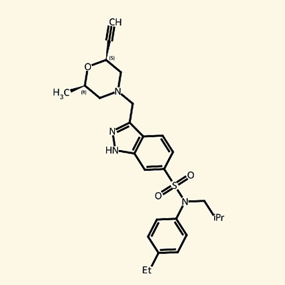 C#C[C@H]1CN(Cc2n[nH]c3cc(S(=O)(=O)N(CC(C)C)c4ccc(CC)cc4)ccc23)C[C@@H](C)O1